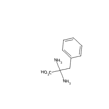 NC(N)(Cc1ccccc1)C(=O)O